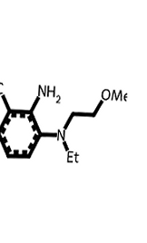 CCN(CCOC)c1cccc(C)c1N